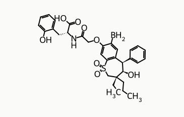 Bc1cc2c(cc1OCC(=O)N[C@H](Cc1ccccc1O)C(=O)O)S(=O)(=O)C[C@@](CC)(CCC)[C@H](O)[C@@H]2c1ccccc1